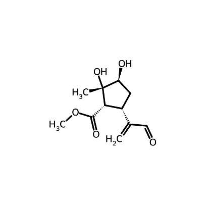 C=C(C=O)[C@H]1C[C@H](O)[C@@](C)(O)[C@H]1C(=O)OC